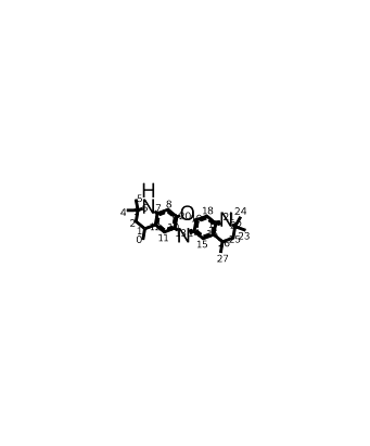 CC1CC(C)(C)Nc2cc3c(cc21)N=c1cc2c(cc1O3)=NC(C)(C)CC2C